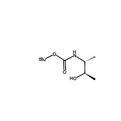 C[C@@H](O)[C@@H](C)NC(=O)OC(C)(C)C